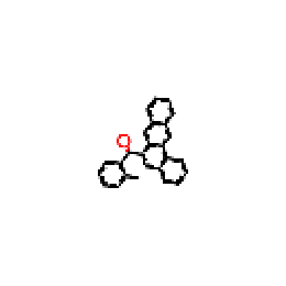 Cc1ccccc1C(=O)c1cc2ccccc2c2cc3ccccc3cc12